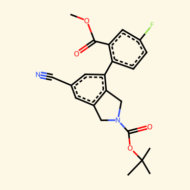 COC(=O)c1cc(F)ccc1-c1cc(C#N)cc2c1CN(C(=O)OC(C)(C)C)C2